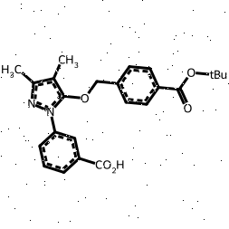 Cc1nn(-c2cccc(C(=O)O)c2)c(OCc2ccc(C(=O)OC(C)(C)C)cc2)c1C